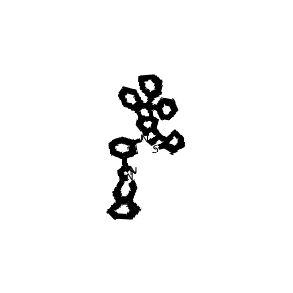 c1ccc(C2(c3ccccc3)c3ccccc3-c3cc4c(cc32)c2c3ccccc3sc2n4-c2cccc(-c3cc4cc5ccccc5cn4n3)c2)cc1